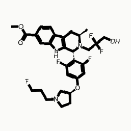 COC(=O)c1ccc2c3c([nH]c2c1)[C@@H](c1c(F)cc(O[C@H]2CCN(CCCF)C2)cc1F)N(CC(F)(F)CO)[C@H](C)C3